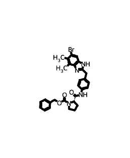 Cc1c(Br)cc2[nH]c(Cc3ccc(NC(=O)[C@@H]4CCCN4C(=O)OCc4ccccc4)cc3)nc2c1C